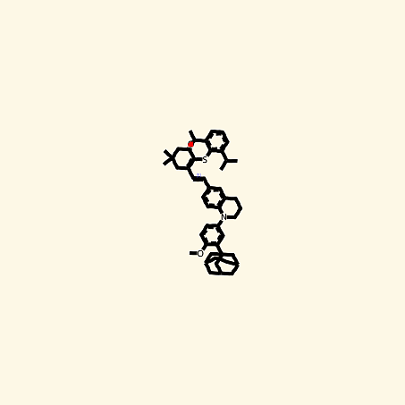 COc1ccc(N2CCCc3cc(/C=C/C4=C(Sc5c(C(C)C)cccc5C(C)C)C(=O)CC(C)(C)C4)ccc32)cc1C12CC3CC(CC(C3)C1)C2